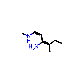 CC/C(C)=C(N)\C=C/NC